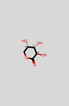 O=C1OC[C@H](O)[C@H](O)[C@H]1O